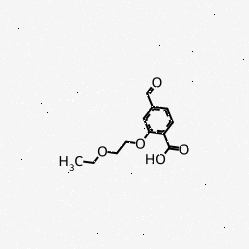 CCOCCOc1cc(C=O)ccc1C(=O)O